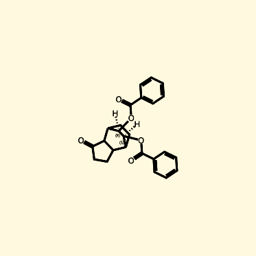 O=C(O[C@@H]1C2CCC(C3CCC(=O)C32)[C@@H]1OC(=O)c1ccccc1)c1ccccc1